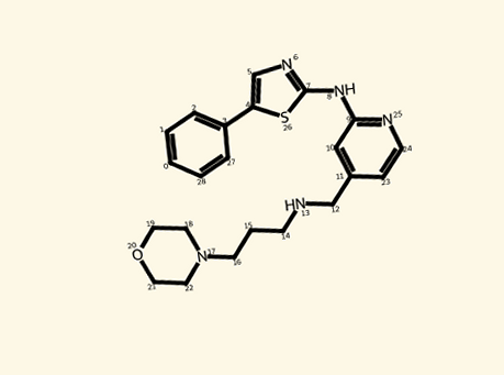 c1ccc(-c2cnc(Nc3cc(CNCCCN4CCOCC4)ccn3)s2)cc1